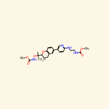 CC(C)(C)OC(=O)NCCNc1ccc(-c2ccc3c(c2)CCC(C(C)(ONC(=O)OC(C)(C)C)C(=O)O)O3)cn1